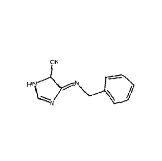 N#CC1NC=N/C1=N\Cc1ccccc1